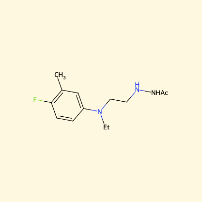 CCN(CCNNC(C)=O)c1ccc(F)c(C)c1